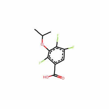 CC(C)Oc1c(F)c(F)cc(C(=O)O)c1F